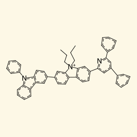 CCC[N+]1(CCC)c2cc(-c3ccc4c(c3)c3ccccc3n4-c3ccccc3)ccc2-c2ccc(-c3cc(-c4ccccc4)cc(-c4ccccc4)n3)cc21